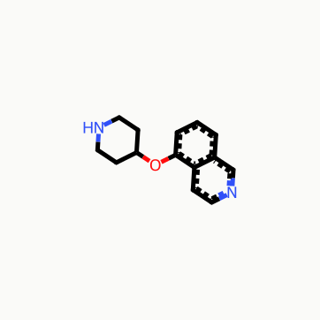 c1cc(OC2CCNCC2)c2ccncc2c1